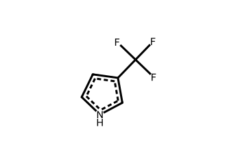 FC(F)(F)c1cc[nH]c1